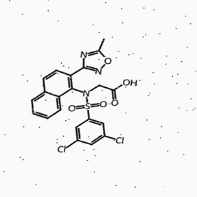 Cc1nc(-c2ccc3ccccc3c2N(CC(=O)O)S(=O)(=O)c2cc(Cl)cc(Cl)c2)no1